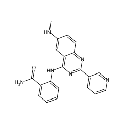 CNc1ccc2nc(-c3cccnc3)nc(Nc3ccccc3C(N)=O)c2c1